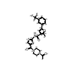 CC(=O)N1CCN(C(=O)c2csc(NC(=O)c3cc(-c4cccc(C(F)(F)F)c4)oc3C)n2)CC1